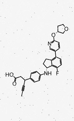 CC#CC(CC(=O)O)c1ccc(N[C@@H]2CCc3c(-c4ccc(O[C@@H]5CCOC5)nc4)ccc(F)c32)cc1